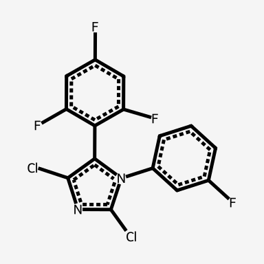 Fc1cccc(-n2c(Cl)nc(Cl)c2-c2c(F)cc(F)cc2F)c1